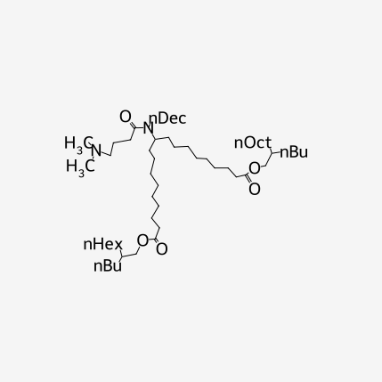 CCCCCCCCCCN(C(=O)CCCN(C)C)C(CCCCCCCCC(=O)OCC(CCCC)CCCCCC)CCCCCCCCC(=O)OCC(CCCC)CCCCCCCC